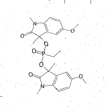 CCP(=O)(OC1(C)C(=O)N(C)c2ccc(OC)cc21)OC1(C)C(=O)N(C)c2ccc(OC)cc21